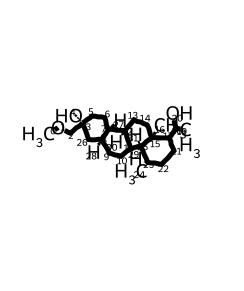 COC[C@@]1(O)CC[C@H]2[C@H](CC[C@@H]3[C@@H]2CC[C@]2(C)C(C(C)O)CC[C@@H](C)[C@@H]32)C1